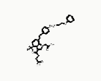 O=C(O)CCC(=O)c1cn(CC(=O)O)c2c(C=Cc3ccc(OCCCCOc4ccccc4)cc3)ccc(C(F)(F)F)c12